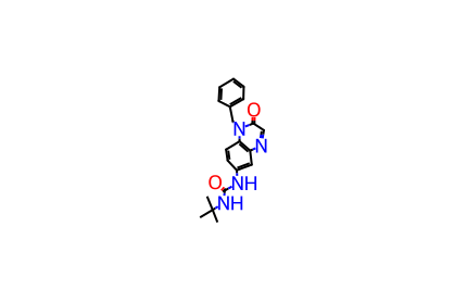 CC(C)(C)NC(=O)Nc1ccc2c(c1)ncc(=O)n2Cc1ccccc1